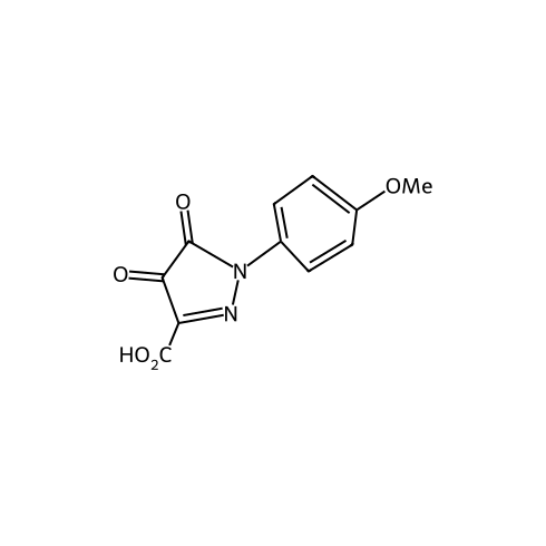 COc1ccc(N2N=C(C(=O)O)C(=O)C2=O)cc1